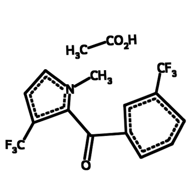 CC(=O)O.Cn1ccc(C(F)(F)F)c1C(=O)c1cccc(C(F)(F)F)c1